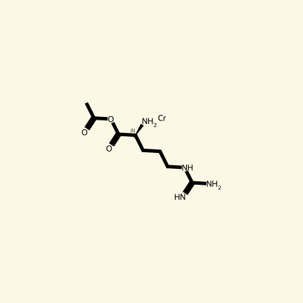 CC(=O)OC(=O)[C@@H](N)CCCNC(=N)N.[Cr]